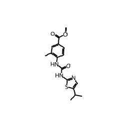 COC(=O)c1ccc(NC(=O)Nc2ncc(C(C)C)s2)c(C)c1